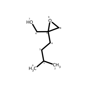 CC(C)CCC1(CO)CO1